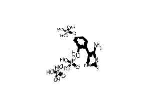 Nc1nc(=S)[nH]cc1-c1ccccc1Cl.O=P(O)(O)O.O=P(O)(O)O.O=P(O)(O)O